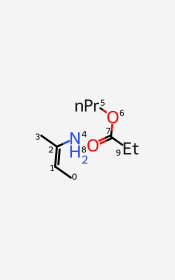 CC=C(C)N.CCCOC(=O)CC